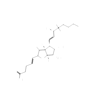 CCCCC(F)(F)[C@H](O)/C=C/[C@@H]1[C@H]2C(F)C(/C=C/CCC(=O)O)O[C@H]2C[C@H]1O.[NaH]